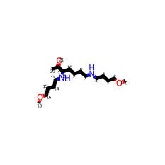 COCCCCNCCCCC(NCCCCOC)C(C)=O